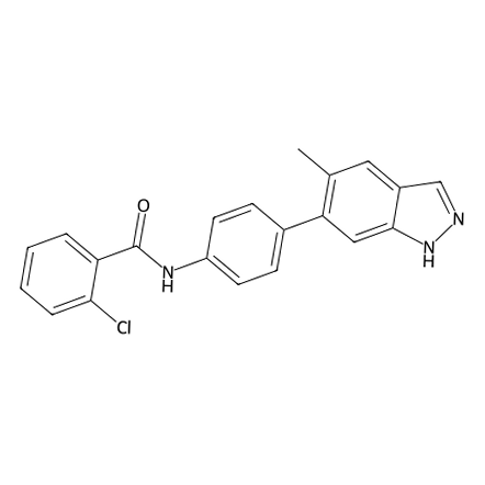 Cc1cc2cn[nH]c2cc1-c1ccc(NC(=O)c2ccccc2Cl)cc1